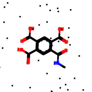 CNC(=O)c1cc(C(=O)O)c(C(=O)O)cc1C(=O)O